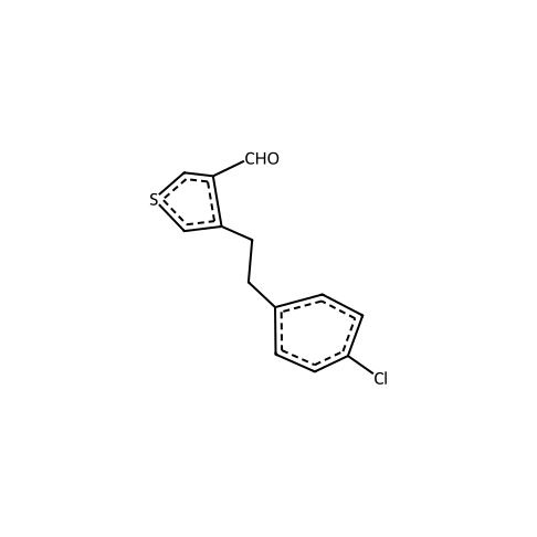 O=Cc1cscc1CCc1ccc(Cl)cc1